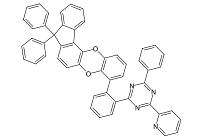 c1ccc(-c2nc(-c3ccccn3)nc(-c3ccccc3-c3cccc4c3Oc3ccc5c(c3O4)-c3ccccc3C5(c3ccccc3)c3ccccc3)n2)cc1